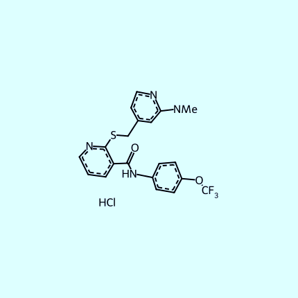 CNc1cc(CSc2ncccc2C(=O)Nc2ccc(OC(F)(F)F)cc2)ccn1.Cl